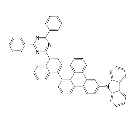 c1ccc(-c2nc(-c3ccccc3)nc(-c3ccc(-c4cccc5c6ccc(-n7c8ccccc8c8ccccc87)cc6c6ccccc6c45)c4ccccc34)n2)cc1